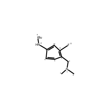 CN(C)Cc1ccc(NC(C)(C)C)cc1F